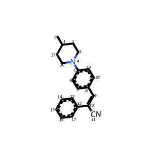 CC1CCN(c2ccc(C=C(C#N)c3ccccc3)cc2)CC1